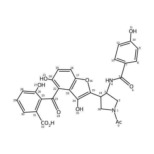 CC(=O)N1CC(NC(=O)c2ccc(O)cc2)C(c2oc3ccc(O)c(C(=O)c4c(O)cccc4C(=O)O)c3c2O)C1